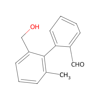 Cc1cccc(CO)c1-c1ccccc1C=O